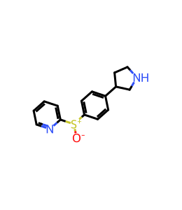 [O-][S+](c1ccc(C2CCNC2)cc1)c1ccccn1